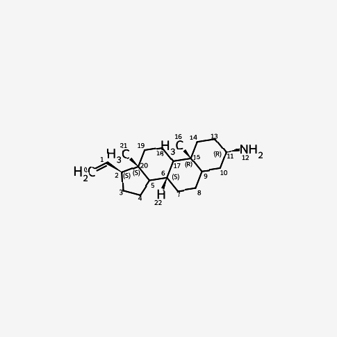 C=C[C@@H]1CCC2[C@H]3CCC4C[C@H](N)CC[C@@]4(C)C3CC[C@]21C